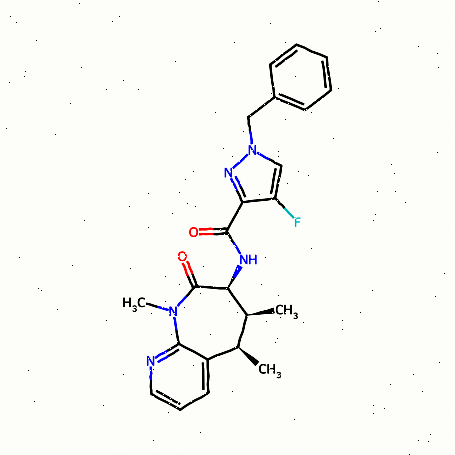 C[C@@H]1[C@H](NC(=O)c2nn(Cc3ccccc3)cc2F)C(=O)N(C)c2ncccc2[C@@H]1C